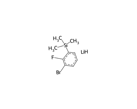 C[Si](C)(C)c1cccc(Br)c1F.[LiH]